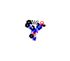 C=CC(=O)N1CCN(c2nc(O[C@@H]3CCC[C@@H]3N(C)C)nc3c2CCN(c2cccc4cccc(C)c24)C3)CC1CC#N